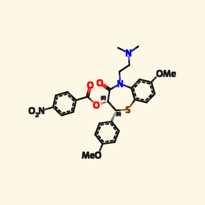 COc1ccc([C@H]2Sc3ccc(OC)cc3N(CCN(C)C)C(=O)[C@H]2OC(=O)c2ccc([N+](=O)[O-])cc2)cc1